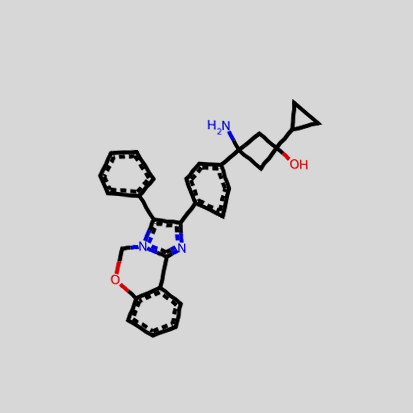 NC1(c2ccc(-c3nc4n(c3-c3ccccc3)COc3ccccc3-4)cc2)CC(O)(C2CC2)C1